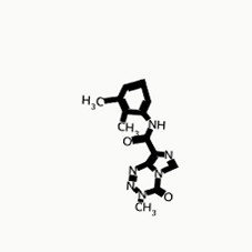 Cc1cccc(NC(=O)c2ncn3c(=O)n(C)nnc23)c1C